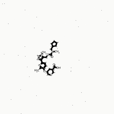 Cc1nc(-c2nnn(C)c2COC(=O)N(C)CC2CCCC2)ccc1O[C@H]1COCC(C(=O)O)C1